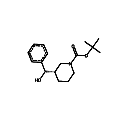 CC(C)(C)OC(=O)N1CCC[C@H](C(O)c2ccccc2)C1